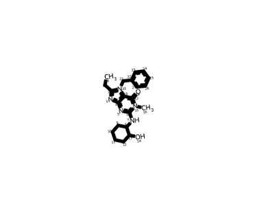 CCc1nc2nc(NC3CCCCC3O)n(C)c(=O)c2n1Cc1ccccc1